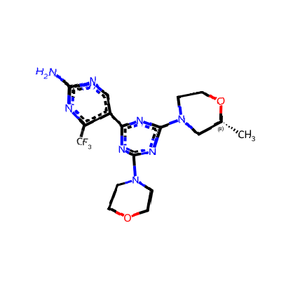 C[C@@H]1CN(c2nc(-c3cnc(N)nc3C(F)(F)F)nc(N3CCOCC3)n2)CCO1